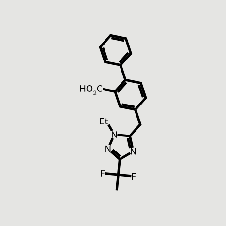 CCn1nc(C(C)(F)F)nc1Cc1ccc(-c2ccccc2)c(C(=O)O)c1